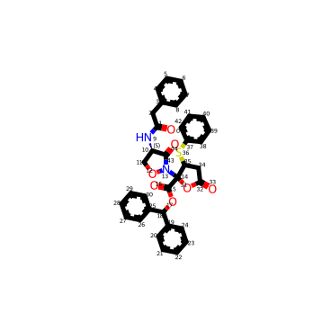 O=C(Cc1ccccc1)N[C@H]1CON(C2(C(=O)OC(c3ccccc3)c3ccccc3)OC(=O)CC2Sc2ccccc2)C1=O